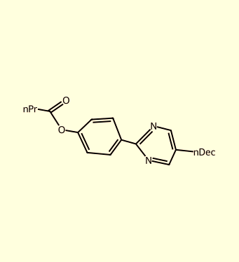 CCCCCCCCCCc1cnc(-c2ccc(OC(=O)CCC)cc2)nc1